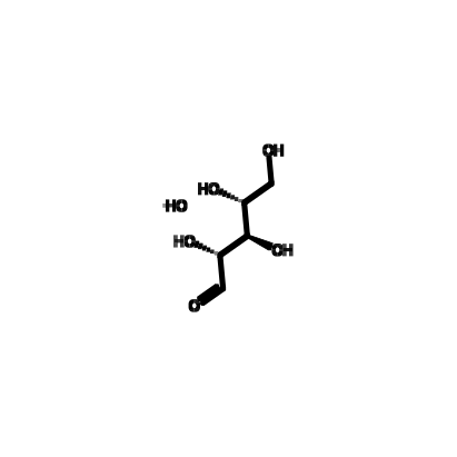 O=C[C@H](O)[C@H](O)[C@H](O)CO.[OH]